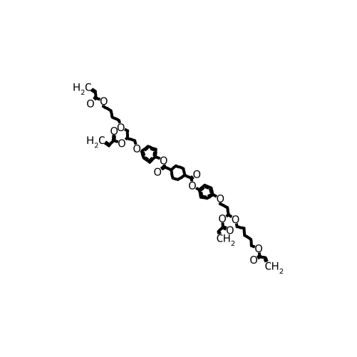 C=CC(=O)OCCCCCOC(CCOc1ccc(OC(=O)C2CCC(C(=O)Oc3ccc(OCC(COCCCCOC(=O)C=C)OC(=O)C=C)cc3)CC2)cc1)OC(=O)C=C